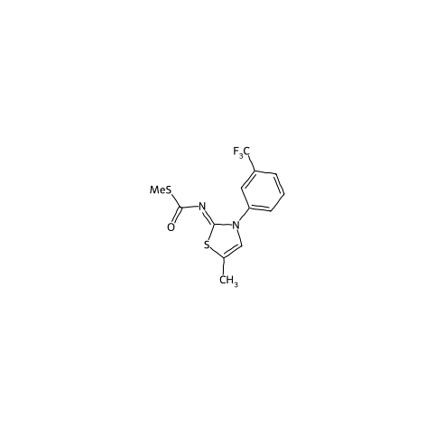 CSC(=O)N=c1sc(C)cn1-c1cccc(C(F)(F)F)c1